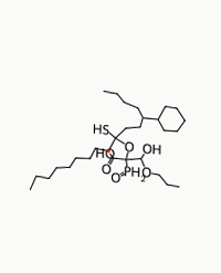 CCCCCCCCCC(S)(CCC(CCCC)C1CCCCC1)OC([PH2]=O)(C(=O)O)C(O)OCCC